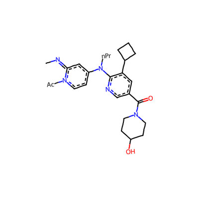 CCCN(c1ccn(C(C)=O)/c(=N\C)c1)c1ncc(C(=O)N2CCC(O)CC2)cc1C1CCC1